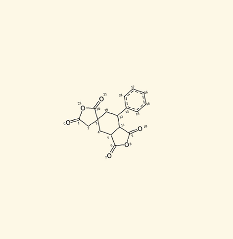 O=C1CC2(CC3C(=O)OC(=O)C3C(c3ccccc3)C2)C(=O)O1